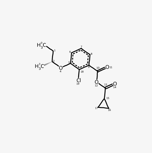 CC[C@@H](C)Oc1cccc(C(=O)OC(=O)C2CC2)c1Cl